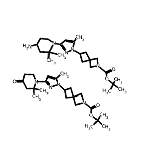 Cc1cc(N2CCC(=O)CC2(C)C)nn1C1CC2(C1)CN(C(=O)OC(C)(C)C)C2.Cc1cc(N2CCC(N)CC2(C)C)nn1C1CC2(C1)CN(C(=O)OC(C)(C)C)C2